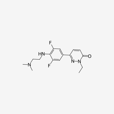 CCn1nc(-c2cc(F)c(NCCN(C)C)c(F)c2)ccc1=O